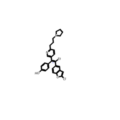 CC/C(=C(/c1ccc(O)cc1)c1ccc(CCCN2CCCC2)nc1)c1ccc2oc(Cl)cc2c1